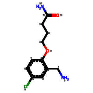 NCc1cc(Cl)ccc1OCCCC(N)=O